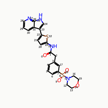 O=C(Cc1cccc(S(=O)(=O)N2CCOCC2)c1)Nc1ccc(-c2c[nH]c3ncccc23)s1